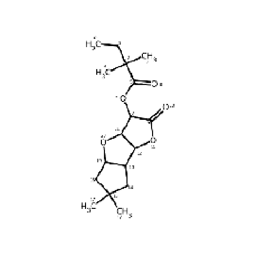 CCC(C)(C)C(=O)OC1C(=O)OC2C3CC(C)(C)CC3OC12